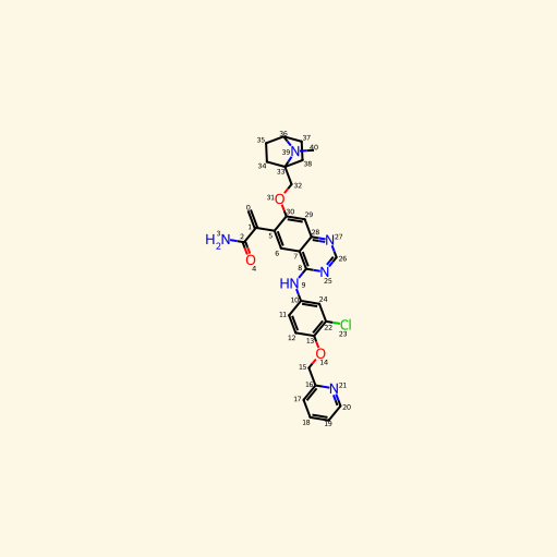 C=C(C(N)=O)c1cc2c(Nc3ccc(OCc4ccccn4)c(Cl)c3)ncnc2cc1OCC12CCC(CC1)N2C